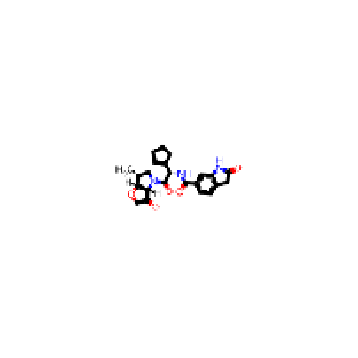 C[C@@H]1CN(C(=O)[C@@H](NC(=O)c2ccc3c(c2)NC(=O)C3)C2CCCC2)[C@@H]2C(=O)CO[C@H]12